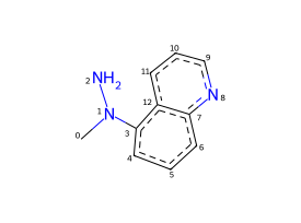 CN(N)c1cccc2ncccc12